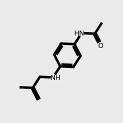 C=C(C)CNc1c[c]c(NC(C)=O)cc1